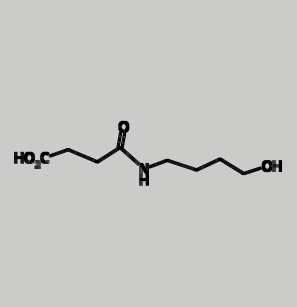 O=C(O)CCC(=O)NCCCCO